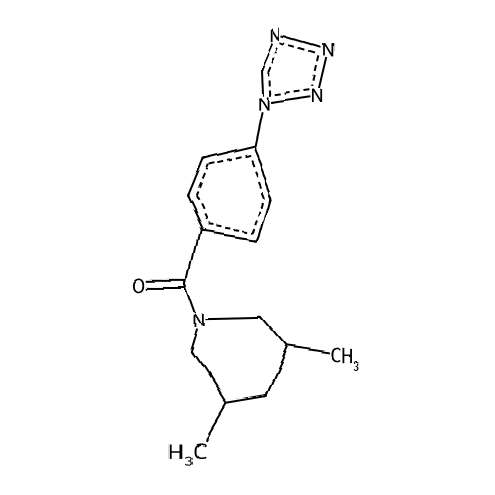 CC1CC(C)CN(C(=O)c2ccc(-n3cnnn3)cc2)C1